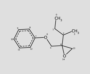 CCC(C)C1(COc2ccccc2)CO1